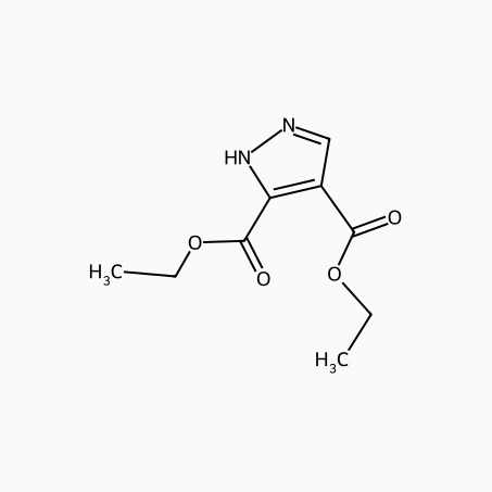 CCOC(=O)c1cn[nH]c1C(=O)OCC